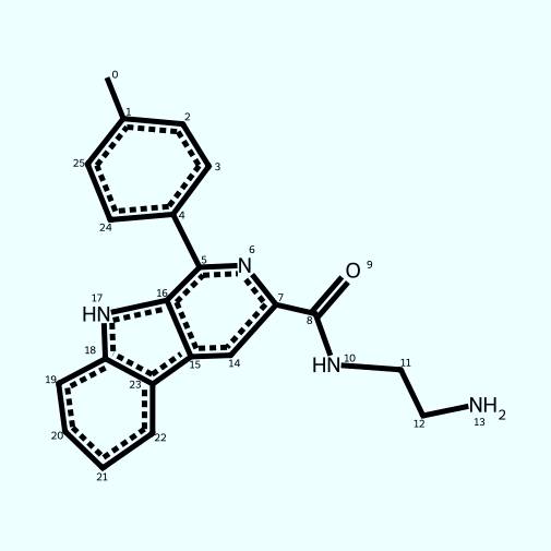 Cc1ccc(-c2nc(C(=O)NCCN)cc3c2[nH]c2ccccc23)cc1